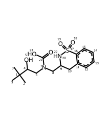 CC(C)(C)C(O)CN(CC1Cc2ccccc2S(=O)(=O)N1)C(=O)O